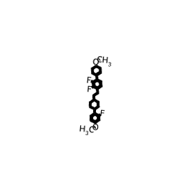 COc1ccc(C2CCC(CCc3ccc(C4=CCC(OC)CC4)c(F)c3F)CC2)c(F)c1